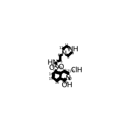 Cl.O=S(=O)(NCCN1CCNCC1)c1cccc2c(O)nccc12